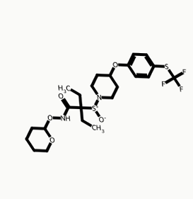 CCC(CC)(C(=O)NOC1CCCCO1)[S+]([O-])N1CCC(Oc2ccc(SC(F)(F)F)cc2)CC1